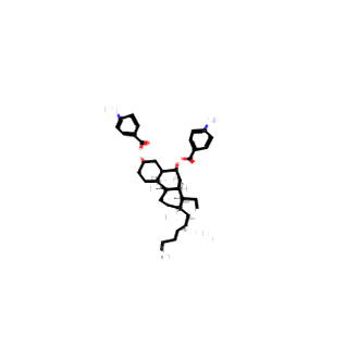 CC(C)CCC[C@@H](C)[C@H]1CC[C@H]2[C@@H]3CC(OC(=O)c4ccc(N)cc4)C4CC(OC(=O)c5ccc(N)cc5)CC[C@]4(C)[C@H]3CC[C@]12C